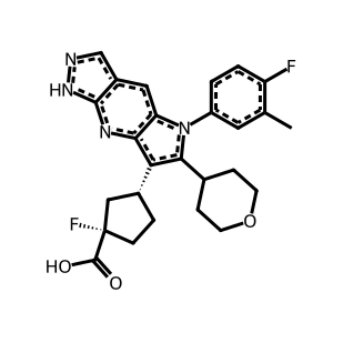 Cc1cc(-n2c(C3CCOCC3)c([C@@H]3CC[C@@](F)(C(=O)O)C3)c3nc4[nH]ncc4cc32)ccc1F